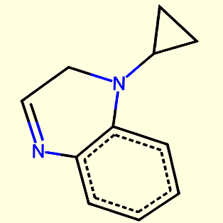 C1=Nc2ccccc2N(C2CC2)C1